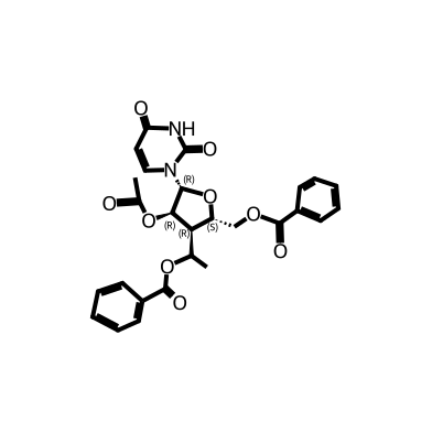 CC(=O)O[C@@H]1[C@H](C(C)OC(=O)c2ccccc2)[C@@H](COC(=O)c2ccccc2)O[C@H]1n1ccc(=O)[nH]c1=O